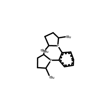 CC(C)(C)C1CCC(C(C)(C)C)P1c1ccccc1P1C(C(C)(C)C)CCC1C(C)(C)C